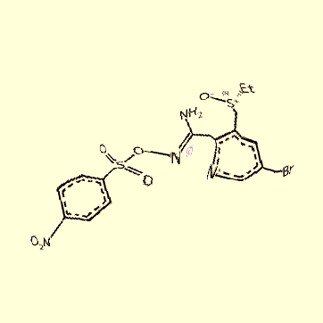 CC[S@@+]([O-])c1cc(Br)cnc1/C(N)=N/OS(=O)(=O)c1ccc([N+](=O)[O-])cc1